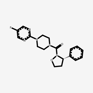 O=C(N1CCN(c2ncc(F)cn2)CC1)N1OCC[C@H]1c1ccccc1